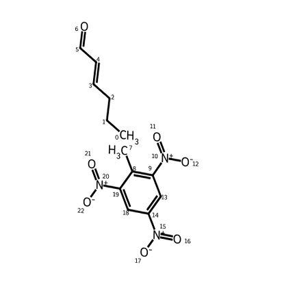 CCC/C=C/C=O.Cc1c([N+](=O)[O-])cc([N+](=O)[O-])cc1[N+](=O)[O-]